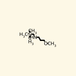 COCCCNC[Si](C)(C)C